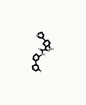 O=C(Nc1cccc(-c2cccc(F)c2)c1)c1n[nH]c2ccc(-c3cccnc3)cc12